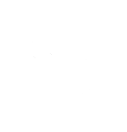 c1ccc(-c2nc(-c3ccccc3)c(-c3cccc(-c4cccc(-c5ccc6c(c5)-c5cc7c(cc5C65CCCCC5)-c5ccccc5C75CCCCC5)c4)c3)nc2-c2ccccc2)cc1